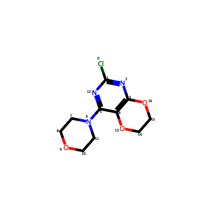 Clc1nc2c(c(N3CCOCC3)n1)OCCO2